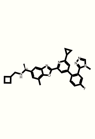 Cc1cc([C@H](C)NCC2CCC2)cc2nc(-c3cc(-c4ccc(F)cc4-c4nncn4C)cc(C4CC4)n3)oc12